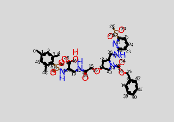 Cc1cc(C)c(S(=O)(=O)NC(CNC(=O)COC2CC(CNc3cccc(S(C)(=O)=O)n3)N(C(=O)OCc3ccccc3)C2)C(=O)O)c(C)c1